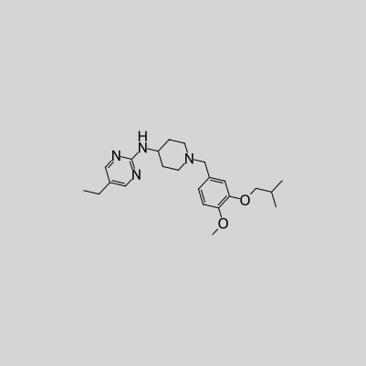 CCc1cnc(NC2CCN(Cc3ccc(OC)c(OCC(C)C)c3)CC2)nc1